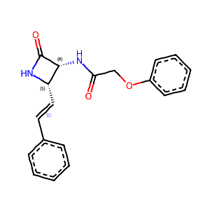 O=C(COc1ccccc1)N[C@H]1C(=O)N[C@H]1/C=C/c1ccccc1